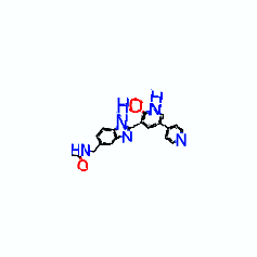 CC(=O)NCc1ccc2[nH]c(-c3cc(-c4ccncc4)c[nH]c3=O)nc2c1